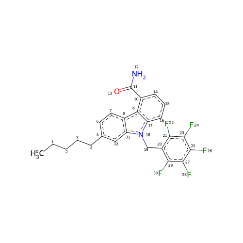 CCCCCc1c[c]c2c3c(C(N)=O)cccc3n(Cc3c(F)c(F)c(F)c(F)c3F)c2c1